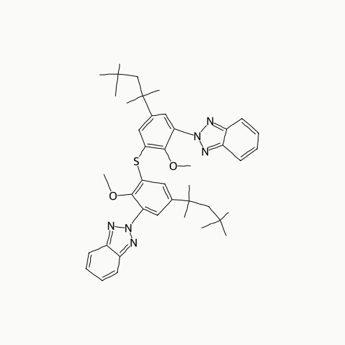 COc1c(Sc2cc(C(C)(C)CC(C)(C)C)cc(-n3nc4ccccc4n3)c2OC)cc(C(C)(C)CC(C)(C)C)cc1-n1nc2ccccc2n1